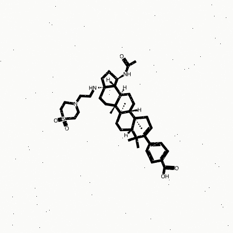 CC(=O)N[C@@H]1CC[C@]2(NCCN3CCS(=O)(=O)CC3)CC[C@]3(C)[C@H](CC[C@@H]4[C@@]5(C)CC=C(c6ccc(C(=O)O)cc6)C(C)(C)[C@@H]5CC[C@]43C)[C@@H]12